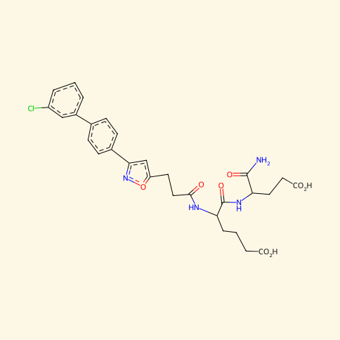 NC(=O)C(CCC(=O)O)NC(=O)C(CCCC(=O)O)NC(=O)CCc1cc(-c2ccc(-c3cccc(Cl)c3)cc2)no1